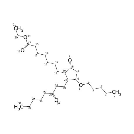 CCCCCOC1CC(=O)C(CCCCCCC(=O)OCC)C1CCC(=O)CCCCC